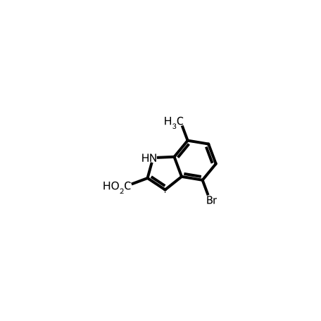 Cc1ccc(Br)c2[c]c(C(=O)O)[nH]c12